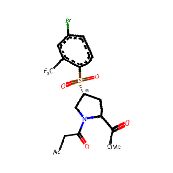 COC(=O)C1C[C@@H](S(=O)(=O)c2ccc(Br)cc2C(F)(F)F)CN1C(=O)CC(C)=O